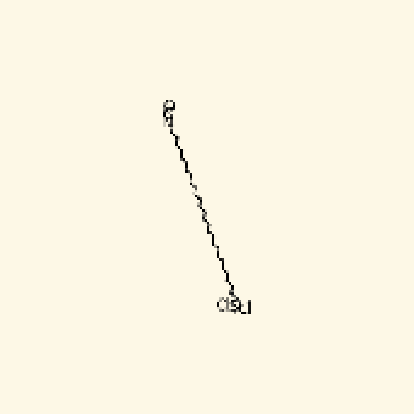 C[Si](Cl)(Cl)CCCCCCCCCCCCCCCCCCCCCCCCCCCCCN=C=O